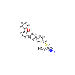 CC(N)(CSCc1ccc(-c2ccc(-c3cccc4c3oc3ccccc34)cc2)cc1)C(=O)O